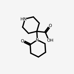 O=C1CCCCN1C1(C(=O)O)CCNCC1